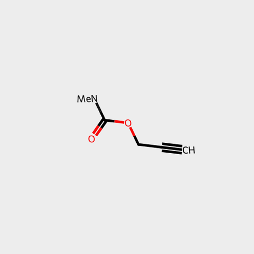 C#CCOC(=O)NC